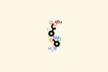 C=C(CC(=O)OC(C)(C)C)c1cc(NC(=O)c2cc(N)ccc2Cl)c(F)cc1F